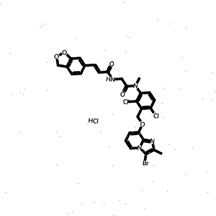 Cc1nc2c(OCc3c(Cl)ccc(N(C)C(=O)CNC(=O)/C=C/c4ccc5c(c4)OOC5)c3Cl)cccn2c1Br.Cl